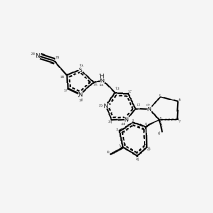 Cc1ccc(C2(C)CCCN2c2cc(Nc3ncc(C#N)s3)ncn2)cc1